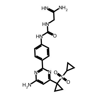 N=C(N)CNC(=O)Nc1ccc(-c2nc(N)cc(C3(S(=O)(=O)C4CC4)CC3)n2)cc1